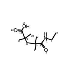 CCNC(=O)C(C)(C)CC(C)(C)C(=O)O